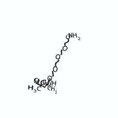 CC(C)(C=O)CC(C)(C)NOCCOCCOCCOCCON